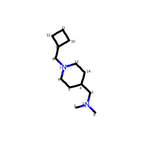 CN(C)CC1CCN(CC2CCC2)CC1